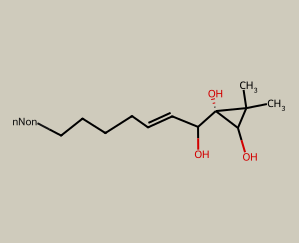 CCCCCCCCCCCCC/C=C/C(O)[C@]1(O)C(O)C1(C)C